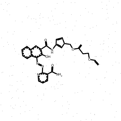 C=COCCC(=C)OCC1C=CC(NC(=O)c2cc3ccccc3c(/N=N/c3ncccc3C(N)=O)c2O)=C1